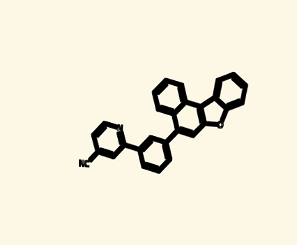 N#Cc1ccnc(-c2cccc(-c3cc4oc5ccccc5c4c4ccccc34)c2)c1